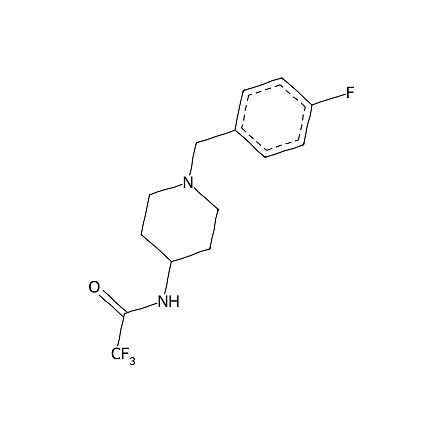 O=C(NC1CCN(Cc2ccc(F)cc2)CC1)C(F)(F)F